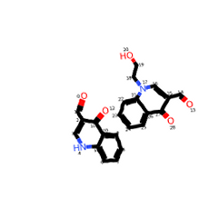 O=Cc1c[nH]c2ccccc2c1=O.O=Cc1cn(CCO)c2ccccc2c1=O